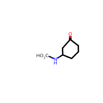 O=C1CCCC(NC(=O)O)C1